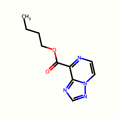 CCCCOC(=O)c1nccn2n[c]nc12